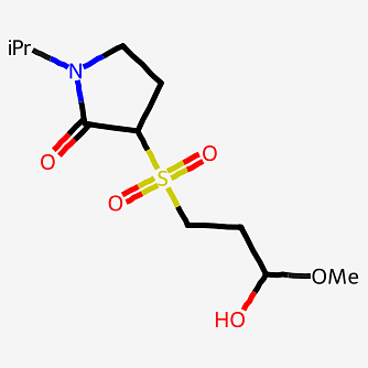 COC(O)CCS(=O)(=O)C1CCN(C(C)C)C1=O